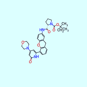 CC(C)(C)OC(=O)N1CCC[C@H]1C(=O)Nc1ccc2c(c1)Cc1cccc(-c3cc(N4CCOCC4)cc(=O)[nH]3)c1O2